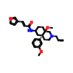 C=CCN1CC[C@@]2(c3cccc(OC)c3)C[C@@H](NC(=O)/C=C/c3ccoc3)CC[C@]2(OC)C1